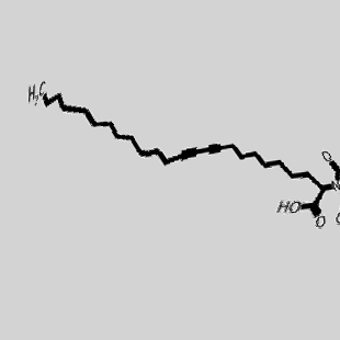 CCCCCCCCCCCCC#CC#CCCCCCCCC(C(=O)O)N1C(=O)CCC1=O